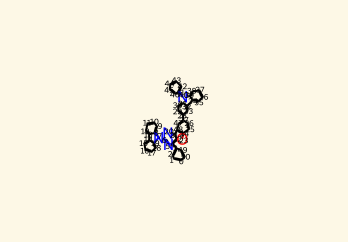 c1ccc(-c2nc(-n3c4ccccc4c4ccccc43)nc3c2oc2ccc(-c4ccc5c(c4)c4ccccc4n5-c4ccccc4)cc23)cc1